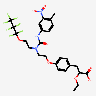 CCOC(Cc1ccc(OCCN(CCOC(F)(F)C(F)(F)C(F)(F)F)C(=O)Nc2ccc(C)c([N+](=O)[O-])c2)cc1)C(=O)O